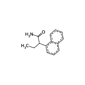 CCC(C(N)=O)c1cccc2ccccc12